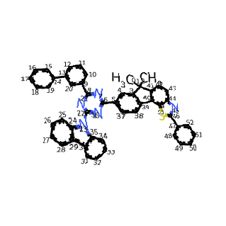 CC1(C)c2cc(-c3nc(-c4cccc(-c5ccccc5)c4)nc(-n4c5ccccc5c5ccccc54)n3)ccc2-c2c1ccc1nc(-c3ccccc3)sc21